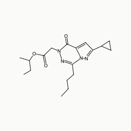 CCCCc1nn(CC(=O)OC(C)CC)c(=O)c2cc(C3CC3)nn12